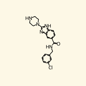 O=C(NCc1cccc(Cl)c1)c1ccc2[nH]c(N3CCNCC3)nc2c1